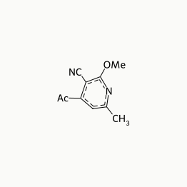 COc1nc(C)cc(C(C)=O)c1C#N